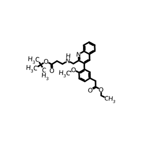 CCOC(=O)Cc1ccc(OC)c(-c2cc3ccccc3nc2CNCCC(=O)OC(C)(C)C)c1